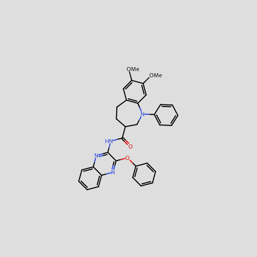 COc1cc2c(cc1OC)N(c1ccccc1)CC(C(=O)Nc1nc3ccccc3nc1Oc1ccccc1)CC2